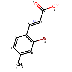 Cc1ccc(/C=C/C(=O)O)c(Br)c1